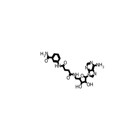 NC(=O)c1cccc(NC(=O)CCC(=O)NCC2OC(n3cnc4c(N)ncnc43)C(O)C2O)c1